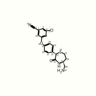 N#Cc1cc(Cl)cc(Oc2ccc([C@H]3SCC[C@@H](CN)NC3=O)cc2)c1